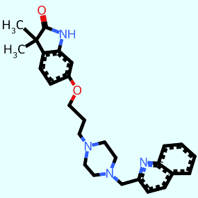 CC1(C)C(=O)Nc2cc(OCCCN3CCN(Cc4ccc5ccccc5n4)CC3)ccc21